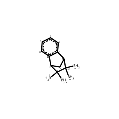 BC1(B)C2CC(c3ccccc32)C1(B)B